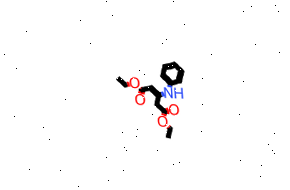 CCOC(=O)C=C(CC(=O)OCC)Nc1ccccc1